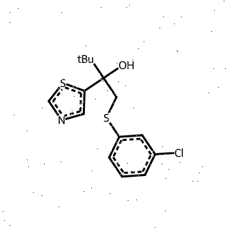 CC(C)(C)C(O)(CSc1cccc(Cl)c1)c1cncs1